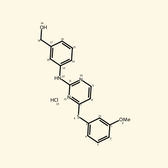 COc1cccc(Sc2ccnc(Nc3cccc(CO)c3)n2)c1.Cl